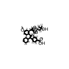 COc1ccc2c(c1)C1CC1(S(=O)(=O)N1CC(C)(O)C1)Cn1c-2c(C2CCCCC2)c2ccc(C(=O)O)cc21